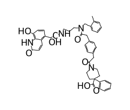 Cc1ccccc1CN(CCCNCC(O)c1ccc(O)c2[nH]c(=O)ccc12)C(=O)Cc1ccc(CC(=O)N2CCC(C(=O)O)(c3ccccc3)CC2)cc1